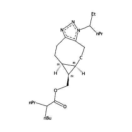 CCCCC(CCC)C(=O)OC[C@@H]1[C@@H]2CCc3c(nnn3C(CC)CCC)CC[C@@H]21